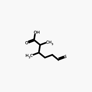 CC(CC[C]=S)C(C)C(=O)O